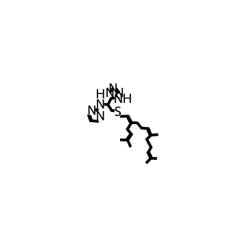 CC(C)=CCCC(C)=CCCC(=CCSCC(Nc1ncccn1)c1nnn[nH]1)CC=C(C)C